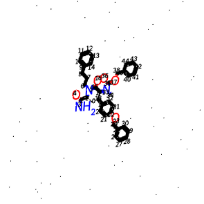 C[C@H](C(N)=O)N(CCCc1ccccc1)C(=O)[C@H](Cc1ccc(OCc2ccccc2)cc1)N(C)C(=O)OCc1ccccc1